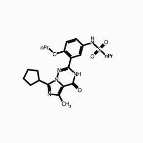 CCCOc1ccc(NS(=O)(=O)CCC)cc1-c1nn2c(C3CCCC3)nc(C)c2c(=O)[nH]1